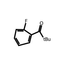 CC(C)(C)C(=O)c1ccccc1F